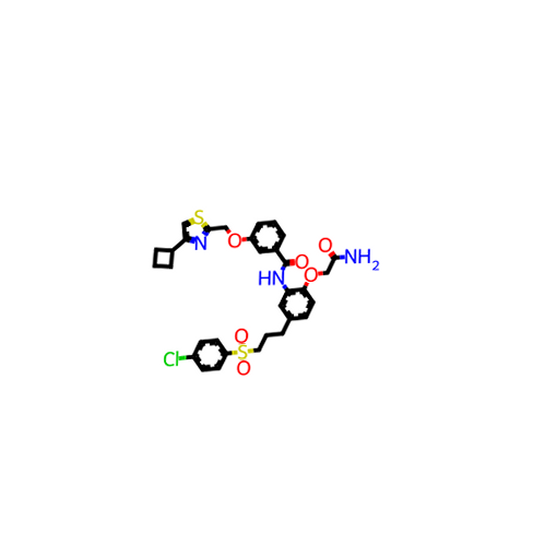 NC(=O)COc1ccc(CCCS(=O)(=O)c2ccc(Cl)cc2)cc1NC(=O)c1cccc(OCc2nc(C3CCC3)cs2)c1